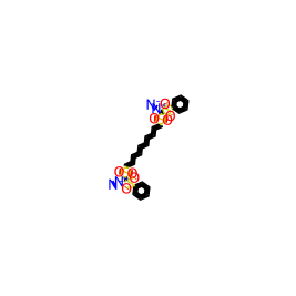 [N-]=[N+]=C(S(=O)(=O)CCCCCCCCCCS(=O)(=O)C(=[N+]=[N-])S(=O)(=O)C1CCCCC1)S(=O)(=O)C1CCCCC1